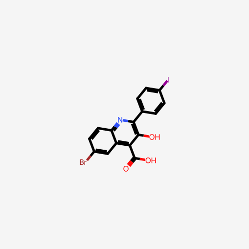 O=C(O)c1c(O)c(-c2ccc(I)cc2)nc2ccc(Br)cc12